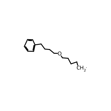 [CH2]CCCCOCCCCc1ccccc1